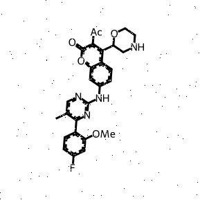 COc1cc(F)ccc1-c1nc(Nc2ccc3c(C4CNCCO4)c(C(C)=O)c(=O)oc3c2)ncc1C